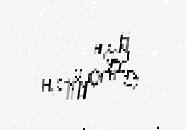 CCNC(=O)Nc1ccc(-c2nc3c(c(N4CCOCC4)n2)CCNC3C)cc1